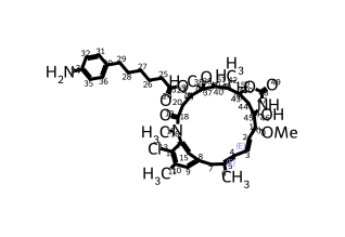 CO[C@@H]1/C=C/C=C(\C)Cc2cc(C)c(Cl)c(c2)N(C)C(=O)C[C@H](OC(=O)CCCCCc2ccc(N)cc2)[C@]2(C)O[C@H]2[C@H](C)[C@@H]2C[C@@]1(O)NC(=O)O2